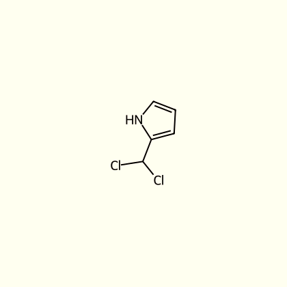 ClC(Cl)c1ccc[nH]1